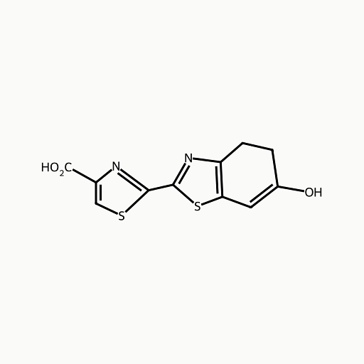 O=C(O)c1csc(-c2nc3c(s2)C=C(O)CC3)n1